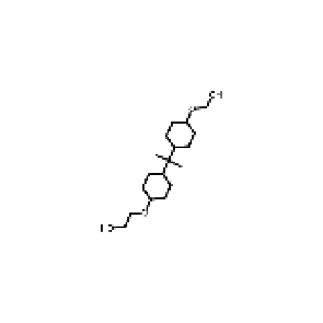 CC(C)(C1CCC(OCO)CC1)C1CCC(OCCO)CC1